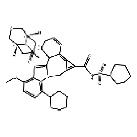 COc1ccc(C2CCCCC2)c2c1cc1n2CC2=C(C(=O)NS(=O)(=O)C3CCCCC3)C2=C2C=CC[C@@H](C(=O)N3[C@@H]4COC[C@H]3CN(C)C4)C21